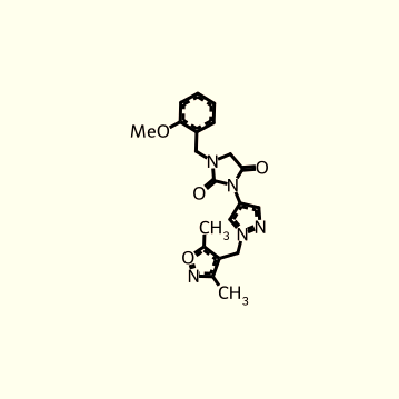 COc1ccccc1CN1CC(=O)N(c2cnn(Cc3c(C)noc3C)c2)C1=O